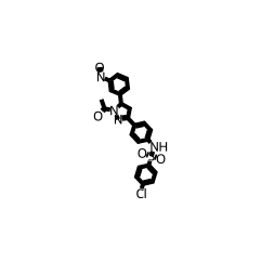 CC(=O)N1N=C(c2ccc(NS(=O)(=O)c3ccc(Cl)cc3)cc2)CC1c1cccc(N=O)c1